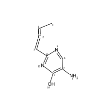 CC=C=Cc1ncc(N)c(O)n1